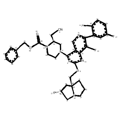 N#CC[C@H]1CN(c2nc(OC[C@@]34CCCN3C[C@H](F)C4)nc3c(F)c(-c4cc(F)ccc4F)ncc23)CCN1C(=O)OCc1ccccc1